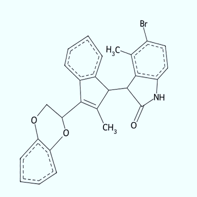 CC1=C(C2COc3ccccc3O2)c2ccccc2C1C1C(=O)Nc2ccc(Br)c(C)c21